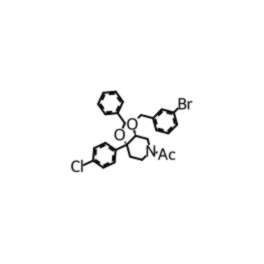 CC(=O)N1CC[C@@](OCc2ccccc2)(c2ccc(Cl)cc2)[C@@H](OCc2cccc(Br)c2)C1